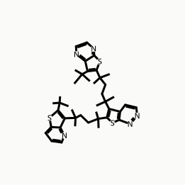 CC(C)(C)c1sc2cccnc2c1C(C)(C)CCC(C)(C)c1sc2nnccc2c1C(C)(C)CCC(C)(C)c1sc2nccnc2c1C(C)(C)C